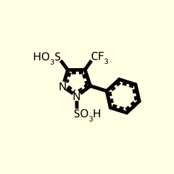 O=S(=O)(O)c1nn(S(=O)(=O)O)c(-c2ccccc2)c1C(F)(F)F